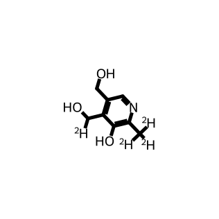 [2H]C(O)c1c(CO)cnc(C([2H])([2H])[2H])c1O